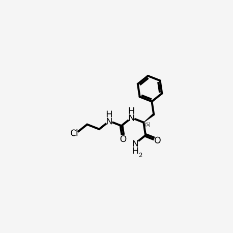 NC(=O)[C@H](Cc1ccccc1)NC(=O)NCCCl